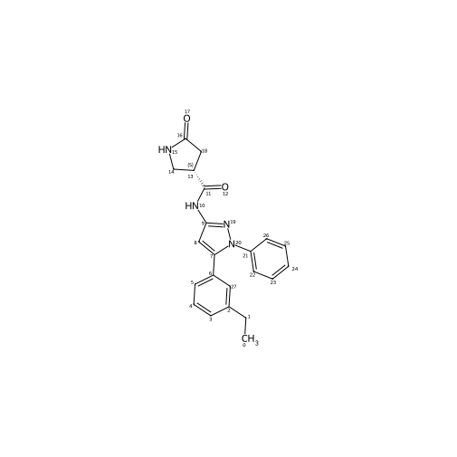 CCc1cccc(-c2cc(NC(=O)[C@@H]3CNC(=O)C3)nn2-c2ccccc2)c1